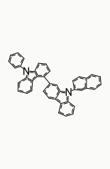 c1ccc(-n2c3ccccc3c3c(-c4ccc5c6ccccc6n(-c6ccc7ccccc7c6)c5c4)cccc32)cc1